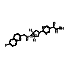 O=C(NO)c1cnc(C2C[C@@H]3[C@H](C2)[C@H]3NCc2ccc3cc(F)ccc3n2)nc1